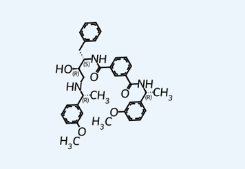 COc1cccc([C@@H](C)NC[C@@H](O)[C@H](Cc2ccccc2)NC(=O)c2cccc(C(=O)N[C@H](C)c3cccc(OC)c3)c2)c1